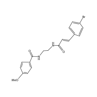 COc1ccc(C(=O)NCCNC(=O)C=Cc2ccc(Br)cc2)cc1